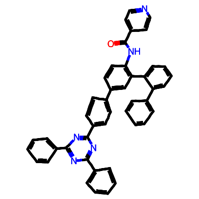 O=C(Nc1ccc(-c2ccc(-c3nc(-c4ccccc4)nc(-c4ccccc4)n3)cc2)cc1-c1ccccc1-c1ccccc1)c1ccncc1